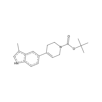 Cc1c[nH]c2ccc(C3=CCN(C(=O)OC(C)(C)C)CC3)cc12